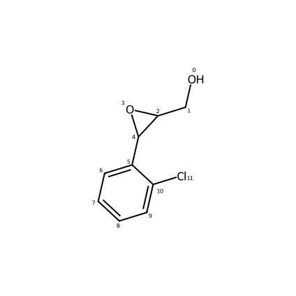 OCC1OC1c1ccccc1Cl